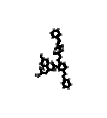 CC(C)CC(NC(=O)c1cc(COc2ccccc2)ccc1CCC(=O)NS(=O)(=O)/C=C/c1ccccc1)c1ccc(F)cc1